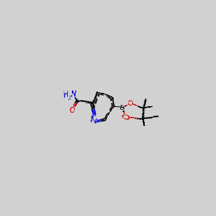 CC1(C)OB(c2ccc(C(N)=O)nc2)OC1(C)C